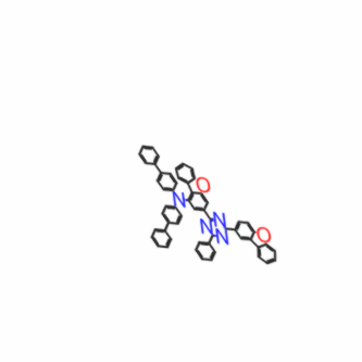 c1ccc(-c2ccc(N(c3ccc(-c4ccccc4)cc3)c3cc(-c4nc(-c5ccccc5)nc(-c5ccc6oc7ccccc7c6c5)n4)cc4oc5ccccc5c34)cc2)cc1